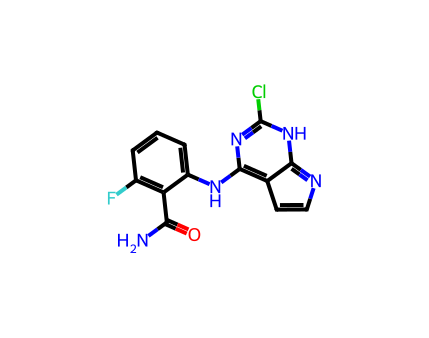 NC(=O)c1c(F)cccc1Nc1nc(Cl)[nH]c2nccc1-2